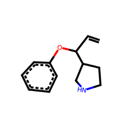 C=CC(Oc1ccccc1)C1CCNC1